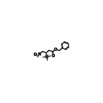 C[Si](C)(C)C(CC(=O)OCc1ccccc1)C[N+](=O)[O-]